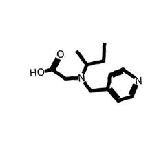 CCC(C)N(CC(=O)O)Cc1ccncc1